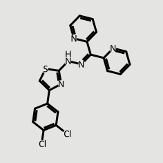 Clc1ccc(-c2csc(NN=C(c3ccccn3)c3ccccn3)n2)cc1Cl